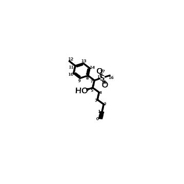 C#CCCCC(O)C(c1ccc(C)cc1)S(C)(=O)=O